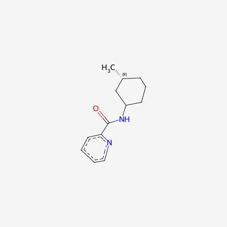 C[C@@H]1CCCC(NC(=O)c2ccccn2)C1